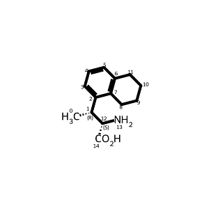 C[C@H](c1cccc2c1CCCC2)[C@H](N)C(=O)O